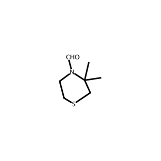 CC1(C)CSCCN1C=O